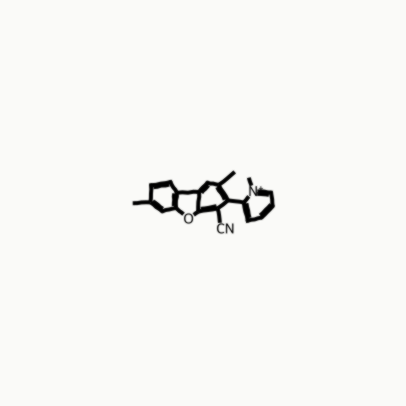 Cc1ccc2c(c1)oc1c(C#N)c(-c3cccc[n+]3C)c(C)cc12